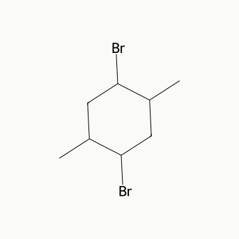 CC1CC(Br)C(C)CC1Br